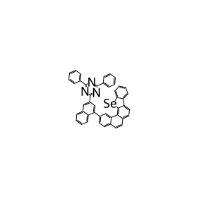 c1ccc(-c2nc(-c3ccccc3)nc(-c3cc(-c4ccc5ccc6ccc7c8ccccc8[se]c7c6c5c4)c4ccccc4c3)n2)cc1